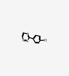 Clc1ccc(-c2nccnn2)cc1